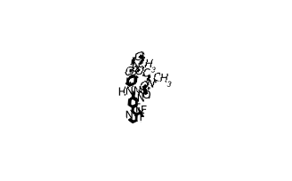 CCCN(CC)CS(=O)(=O)c1nc(Nc2ccc(S(=O)(=O)N3CCOCC3)cc2)c2ccc(-c3ncccc3C(F)(F)F)cc2n1